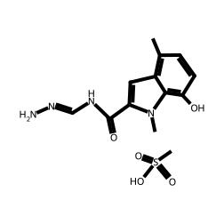 CS(=O)(=O)O.Cc1ccc(O)c2c1cc(C(=O)NC=NN)n2C